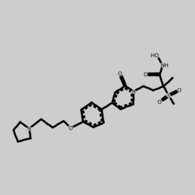 CC(CCn1ccc(-c2ccc(OCCCN3CCCC3)cc2)cc1=O)(C(=O)NO)S(C)(=O)=O